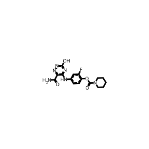 NC(=O)c1nnc(O)nc1Nc1ccc(OC(=O)N2CCCCC2)c(F)c1